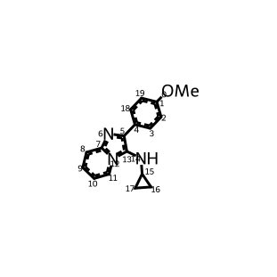 COc1ccc(-c2nc3ccccn3c2NC2CC2)cc1